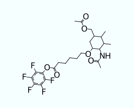 CC(=O)NC1C(OCCCCCC(=O)Oc2c(F)c(F)c(F)c(F)c2F)CC(COC(C)=O)C(C)C1C